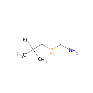 CCC(C)(C)CPCN